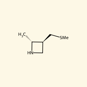 CSC[C@H]1CN[C@@H]1C